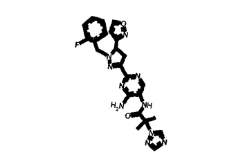 CC(C)(C(=O)Nc1cnc(C2=NN(Cc3ccccc3F)C(c3ccon3)C2)nc1N)n1cncn1